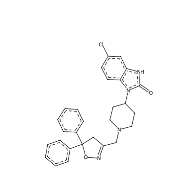 O=c1[nH]c2cc(Cl)ccc2n1C1CCN(CC2=NOC(c3ccccc3)(c3ccccc3)C2)CC1